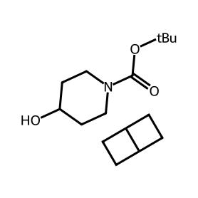 C1CC2CCC12.CC(C)(C)OC(=O)N1CCC(O)CC1